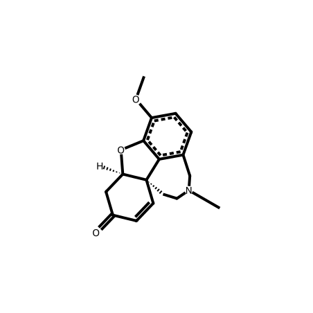 COc1ccc2c3c1O[C@@H]1CC(=O)C=C[C@]31CCN(C)C2